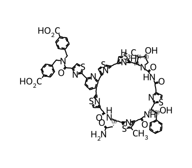 Cc1sc2nc1C(=O)N[C@@H]([C@H](O)c1ccccc1)c1nc(cs1)C(=O)NC(=O)N1C[C@H](O)[C@H](C)[C@H]1c1nc(cs1)-c1nc(cs1)-c1nc(-c3nc(C(=O)N(Cc4ccc(C(=O)O)cc4)Cc4ccc(C(=O)O)cc4)cs3)ccc1-c1nc(cs1)C(=O)N[C@H]2CC(N)=O